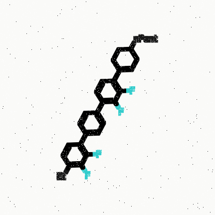 CCCCCC1CC=C(c2ccc(-c3ccc(-c4ccc(CC)c(F)c4F)cc3)c(F)c2F)CC1